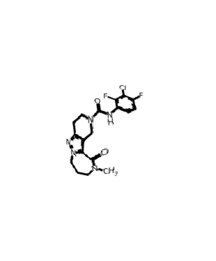 CN1CCCn2nc3c(c2C1=O)CN(C(=O)Nc1ccc(F)c(Cl)c1F)CC3